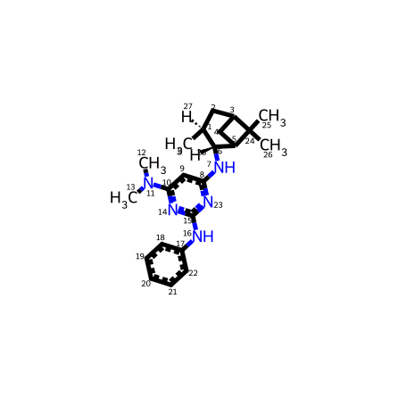 C[C@H]1CC2CC([C@@H]1Nc1cc(N(C)C)nc(Nc3ccccc3)n1)C2(C)C